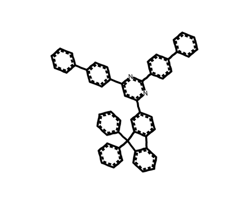 c1ccc(-c2ccc(-c3cc(-c4ccc5c(c4)C(c4ccccc4)(c4ccccc4)c4ccccc4-5)nc(-c4ccc(-c5ccccc5)cc4)n3)cc2)cc1